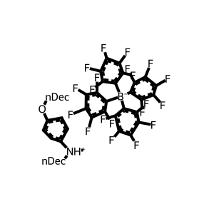 CCCCCCCCCCOc1ccc([NH+](C)CCCCCCCCCC)cc1.Fc1c(F)c(F)c([B-](c2c(F)c(F)c(F)c(F)c2F)(c2c(F)c(F)c(F)c(F)c2F)c2c(F)c(F)c(F)c(F)c2F)c(F)c1F